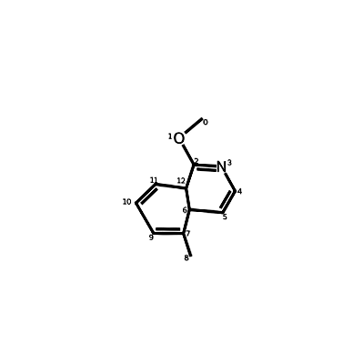 COC1=NC=CC2C(C)=CC=CC12